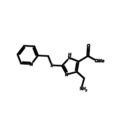 COC(=O)c1[nH]c(SCc2ccccn2)nc1CN